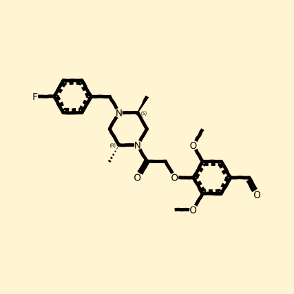 COc1cc(C=O)cc(OC)c1OCC(=O)N1C[C@H](C)N(Cc2ccc(F)cc2)C[C@H]1C